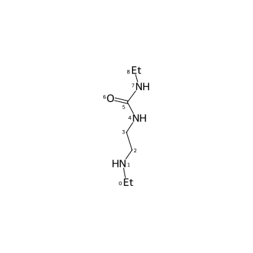 CCNCCNC(=O)NCC